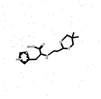 COC(=O)C(Cc1c[nH]cn1)NCCC1OCC(C)(C)CO1